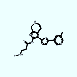 Cc1cncc(-c2csc(-c3c(NC(=O)CCNC(C)C)sc4c3CCNC4)n2)c1